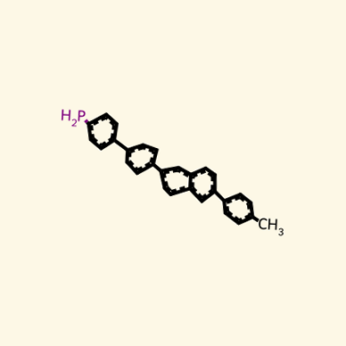 Cc1ccc(-c2ccc3cc(-c4ccc(-c5ccc(P)cc5)cc4)ccc3c2)cc1